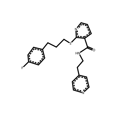 O=C(NCCc1ccncc1)c1cccnc1SCCCc1ccc(F)cc1